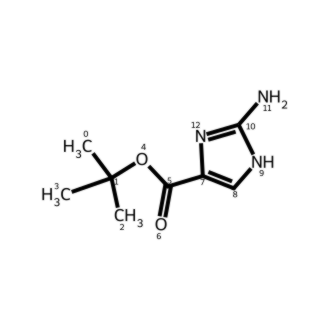 CC(C)(C)OC(=O)c1c[nH]c(N)n1